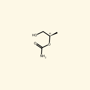 C[C@H](CO)OC(N)=O